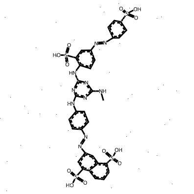 CNc1nc(Nc2ccc(N=Nc3cc(S(=O)(=O)O)c4cccc(S(=O)(=O)O)c4c3)cc2)nc(Nc2ccc(N=Nc3ccc(S(=O)(=O)O)cc3)cc2S(=O)(=O)O)n1